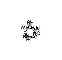 CO[C@]1(CN2CCN3CCCC[C@@H]3C2)/C=C/C[C@H](C)[C@@H](C[C@@H](C)O)S(=O)(=O)NC(=O)c2ccc3c(c2)N(C[C@@H]2CC[C@H]21)C[C@@]1(CCCc2cc(Cl)ccc21)CO3